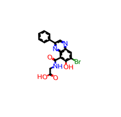 O=C(O)CNC(=O)c1c(O)c(Br)cc2ncc(-c3ccccc3)nc12